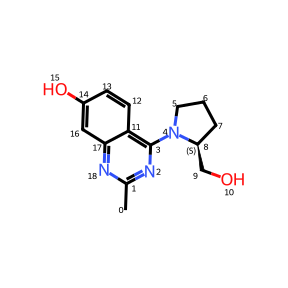 Cc1nc(N2CCC[C@H]2CO)c2ccc(O)cc2n1